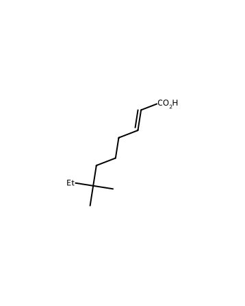 CCC(C)(C)CCCC=CC(=O)O